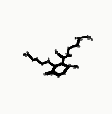 CCCCOc1c(C(=O)NCCNC)n(N)ccc1=O